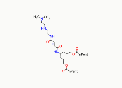 CCCCCC(=O)OCCCC(CCCOC(=O)CCCCC)NC(=O)/C=C/C(=O)NCCNCCN(C)C